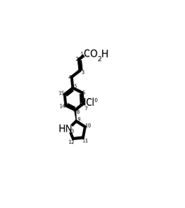 Cl.O=C(O)/C=C/Cc1ccc([C@H]2CCCN2)cc1